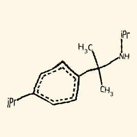 CC(C)NC(C)(C)c1ccc(C(C)C)cc1